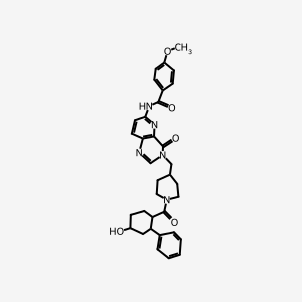 COc1ccc(C(=O)Nc2ccc3ncn(CC4CCN(C(=O)C5CCC(O)CC5c5ccccc5)CC4)c(=O)c3n2)cc1